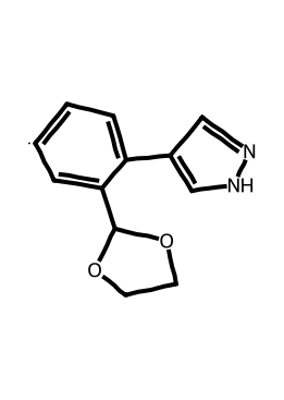 [c]1ccc(-c2cn[nH]c2)c(C2OCCO2)c1